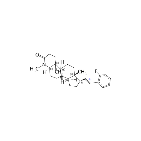 CN1C(=O)CC[C@]2(C)[C@H]3CC[C@]4(C)[C@@H](/C=C/c5ccccc5F)CC[C@H]4[C@@H]3CC[C@@H]12